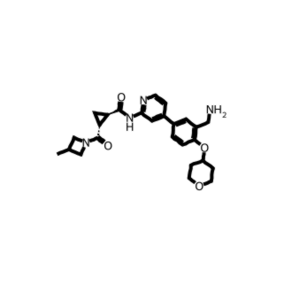 CC1CN(C(=O)[C@@H]2C[C@H]2C(=O)Nc2cc(-c3ccc(OC4CCOCC4)c(CN)c3)ccn2)C1